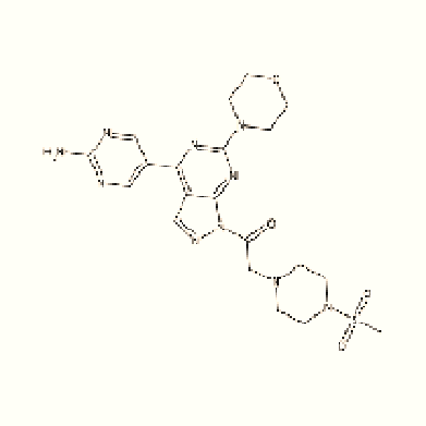 CS(=O)(=O)N1CCN(CC(=O)n2ncc3c(-c4cnc(N)nc4)nc(N4CCOCC4)nc32)CC1